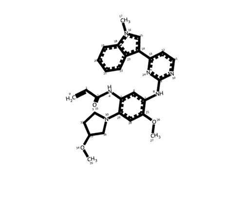 C=CC(=O)Nc1cc(Nc2nccc(-c3cn(C)c4ccccc34)n2)c(OC)cc1N1CCC(OC)C1